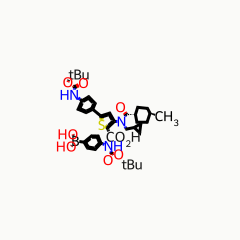 CC(C)(C)OC(=O)Nc1ccc(-c2cc(N(CC3CC3)C(=O)[C@H]3CC[C@H](C)CC3)c(C(=O)O)s2)cc1.CC(C)(C)OC(=O)Nc1ccc(B(O)O)cc1